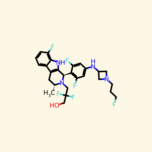 C[C@@H]1Cc2c([nH]c3c(F)cccc23)[C@@H](c2c(F)cc(NC3CN(CCCF)C3)cc2F)N1CC(F)(F)CO